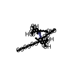 CCCC1CC(/C=C/C=C2/N(CCCCCC(=O)O)c3ccc4c(S(=O)(=O)O)cc(S(=O)(=O)O)cc4c3C2(C)C)C(C)(CCOCCOCCOCCOC)c2c(ccc3c(S(=O)(=O)O)cc(S(=O)(=O)O)cc23)N1CCOCCOCCOCCOCCOCCOC